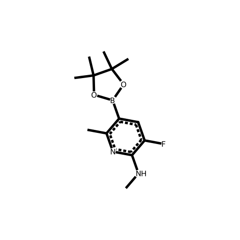 CNc1nc(C)c(B2OC(C)(C)C(C)(C)O2)cc1F